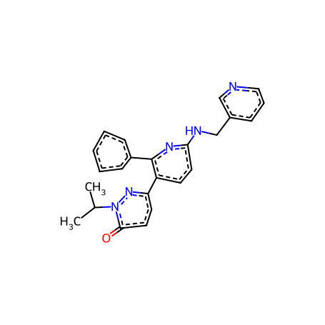 CC(C)n1nc(-c2ccc(NCc3cccnc3)nc2-c2ccccc2)ccc1=O